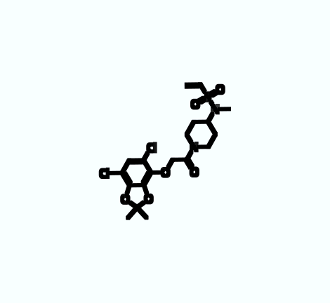 C=CS(=O)(=O)N(C)C1CCN(C(=O)COc2c(Cl)cc(Cl)c3c2OC(C)(C)O3)CC1